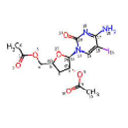 CC(=O)OC[C@@H]1C[C@@H](OC(C)=O)[C@H](n2cc(I)c(N)nc2=O)O1